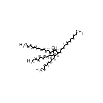 CCCCCCCCCCCCC(CCCCCCCCCC)CC(C)(CCCCCCCCCC)CCCCCCCCCCCC